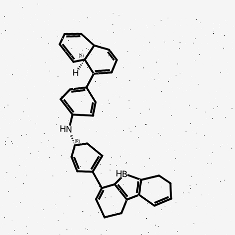 B1C2=C(C=CCC2)C2=C1C(C1=CC[C@@H](Nc3ccc(C4=CC=CC5C=CC=C[C@H]45)cc3)C=C1)=CCC2